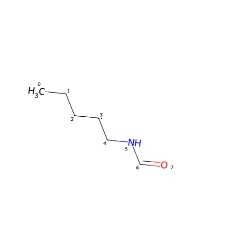 CCC[CH]CNC=O